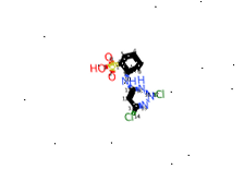 O=S(=O)(O)c1ccccc1NC1=CC(Cl)=NN(Cl)N1